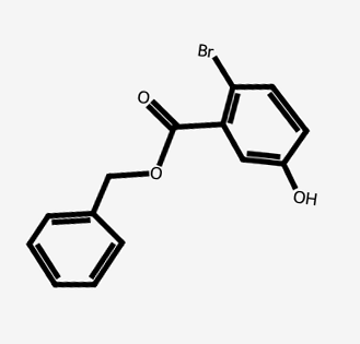 O=C(OCc1ccccc1)c1cc(O)ccc1Br